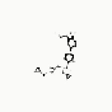 Cn1nc(CO)c2cc(-c3ccc(C4=NC5(CC5)C(=O)N4CC4CN(C(=O)C5CC5)C4)c(F)c3)ccc21